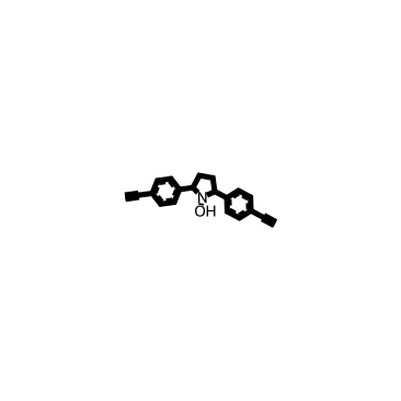 C#Cc1ccc(C2CCC(c3ccc(C#C)cc3)N2O)cc1